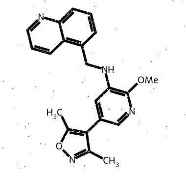 COc1ncc(-c2c(C)noc2C)cc1NCc1cccc2ncccc12